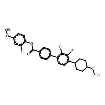 CCCCOc1ccc(OC(=O)c2ccc(-c3ccc(C4CCC(OCCCC)CC4)c(F)c3F)cc2)c(F)c1